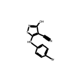 N#Cc1c(O)nsc1Nc1ccc(Br)cc1